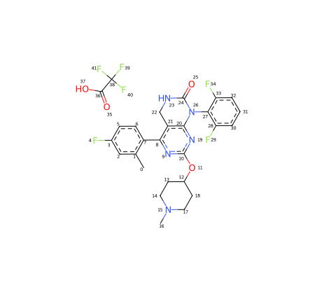 Cc1cc(F)ccc1-c1nc(OC2CCN(C)CC2)nc2c1CNC(=O)N2c1c(F)cccc1F.O=C(O)C(F)(F)F